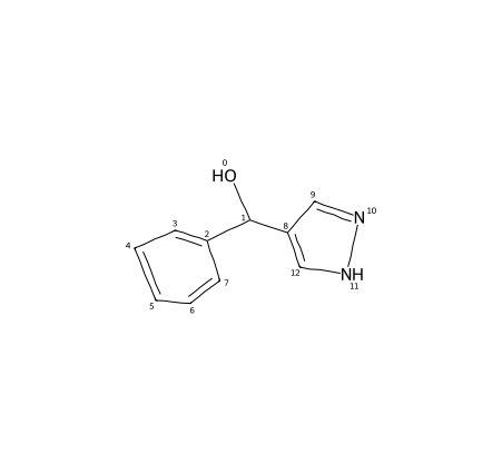 OC(c1ccccc1)c1cn[nH]c1